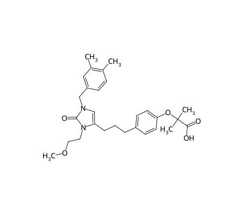 COCCn1c(CCCc2ccc(OC(C)(C)C(=O)O)cc2)cn(Cc2ccc(C)c(C)c2)c1=O